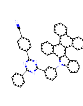 N#Cc1ccc(-c2nc(-c3ccccc3)nc(-c3cccc(-n4c5ccccc5c5c6c7ccccc7c7ccccc7c6c6ccccc6c54)c3)n2)cc1